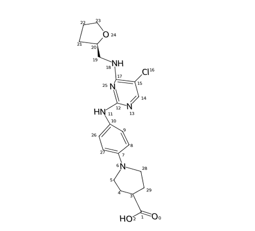 O=C(O)C1CCN(c2ccc(Nc3ncc(Cl)c(NC[C@H]4CCCO4)n3)cc2)CC1